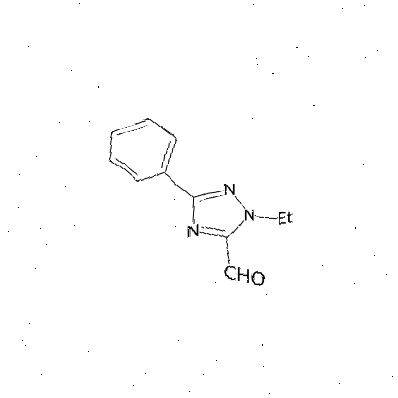 CCn1nc(-c2ccccc2)nc1C=O